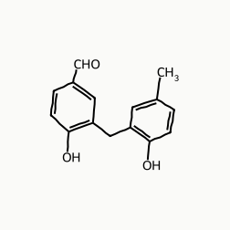 Cc1ccc(O)c(Cc2cc(C=O)ccc2O)c1